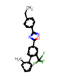 [CH2]Cc1ccc(-c2noc(-c3ccc(-c4ccccc4C)c(C(F)(F)F)c3)n2)cc1